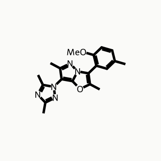 COc1ccc(C)cc1-c1c(C)oc2c(-n3nc(C)nc3C)c(C)nn12